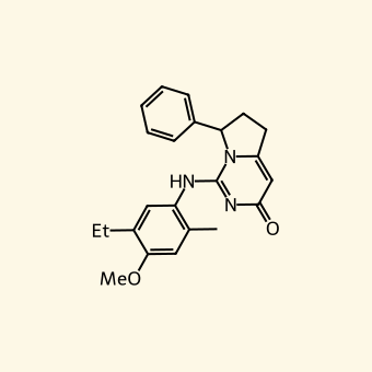 CCc1cc(Nc2nc(=O)cc3n2C(c2ccccc2)CC3)c(C)cc1OC